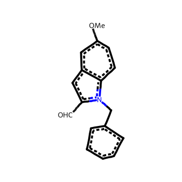 COc1ccc2c(c1)cc(C=O)n2Cc1ccccc1